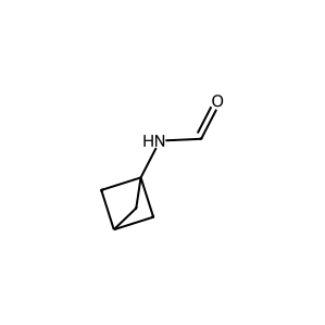 O=CNC12CC(C1)C2